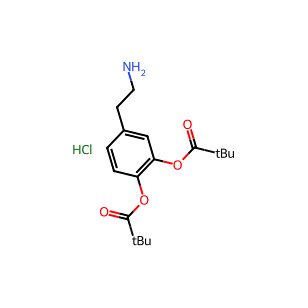 CC(C)(C)C(=O)Oc1ccc(CCN)cc1OC(=O)C(C)(C)C.Cl